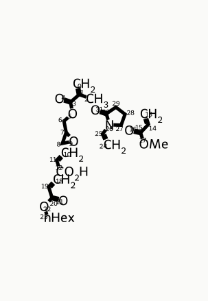 C=C(C)C(=O)OCC1CO1.C=CC(=O)O.C=CC(=O)OC.C=CC(=O)OCCCCCC.C=CN1CCCC1=O